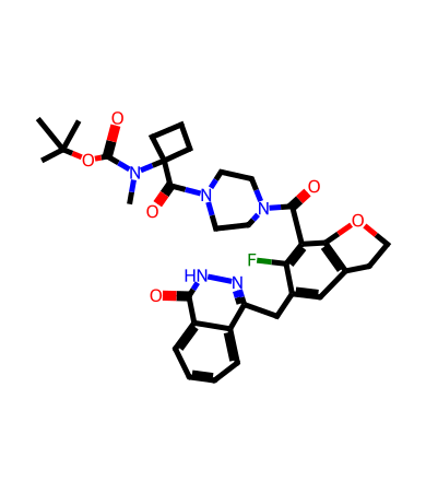 CN(C(=O)OC(C)(C)C)C1(C(=O)N2CCN(C(=O)c3c(F)c(Cc4n[nH]c(=O)c5ccccc45)cc4c3OCC4)CC2)CCC1